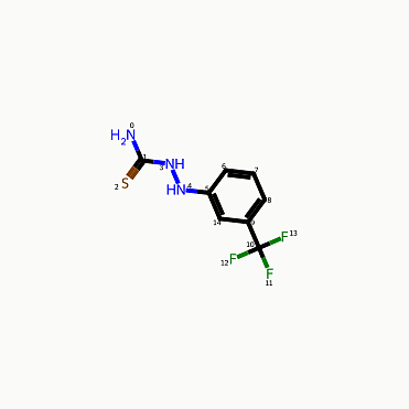 NC(=S)NNc1cccc(C(F)(F)F)c1